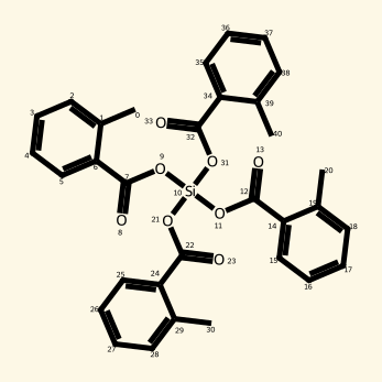 Cc1ccccc1C(=O)O[Si](OC(=O)c1ccccc1C)(OC(=O)c1ccccc1C)OC(=O)c1ccccc1C